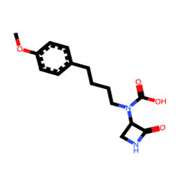 COc1ccc(CCCCN(C(=O)O)C2CNC2=O)cc1